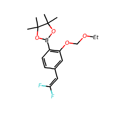 CCOCOc1cc(C=C(F)F)ccc1B1OC(C)(C)C(C)(C)O1